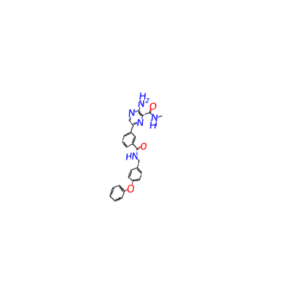 CNC(=O)c1nc(-c2cccc(C(=O)NCc3ccc(Oc4ccccc4)cc3)c2)cnc1N